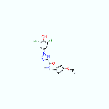 CN(Cc1ccc(OC(F)(F)F)cc1)C(=O)c1ncn(-c2cc(Cl)c(O)c(Cl)c2)n1